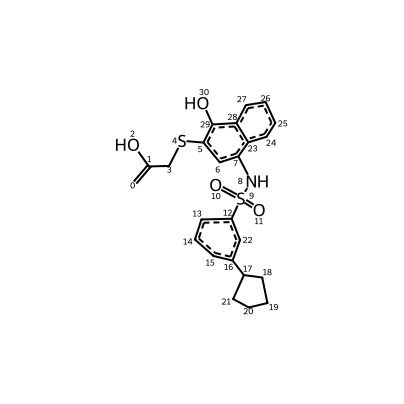 C=C(O)CSc1cc(NS(=O)(=O)c2cccc(C3CCCC3)c2)c2ccccc2c1O